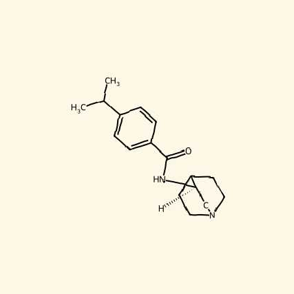 CC(C)c1ccc(C(=O)N[C@@H]2CN3CCC2CC3)cc1